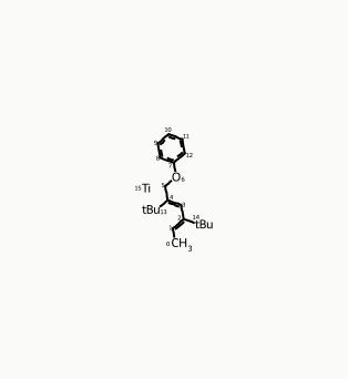 CC=C(C=C(COc1ccccc1)C(C)(C)C)C(C)(C)C.[Ti]